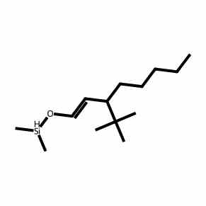 CCCCCC(C=CO[SiH](C)C)C(C)(C)C